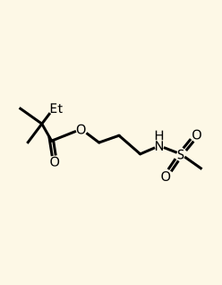 CCC(C)(C)C(=O)OCCCNS(C)(=O)=O